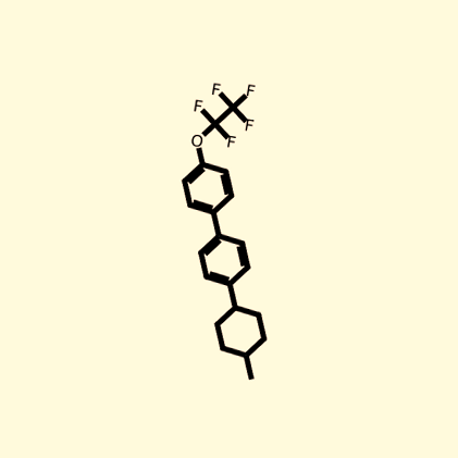 CC1CCC(c2ccc(-c3ccc(OC(F)(F)C(F)(F)F)cc3)cc2)CC1